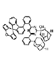 CC1(c2nc(-c3ccccc3-c3cccc4c3-c3ccccc3C43c4ccccc4Oc4ccccc43)nc(-c3ccccc3C34CC5C[C@H]6C[C@H](C3)C[C@@]56C4)n2)CC2CC3C[C@H](C1)C32